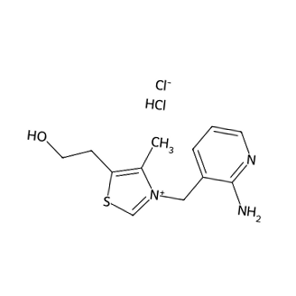 Cc1c(CCO)sc[n+]1Cc1cccnc1N.Cl.[Cl-]